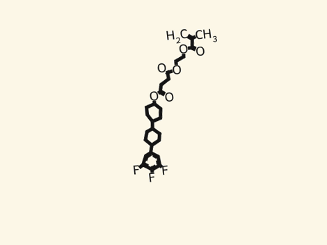 C=C(C)C(=O)OCCOC(=O)CCC(=O)OC1CCC(C2CCC(c3cc(F)c(F)c(F)c3)CC2)CC1